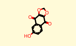 O=C1C2=C(OCO2)C(=O)c2cc(O)ccc21